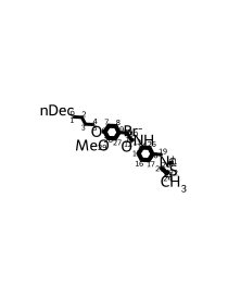 CCCCCCCCCCCCCCOc1ccc(CC(=O)Nc2cccc(C[n+]3csc(C)c3)c2)cc1OC.[Br-]